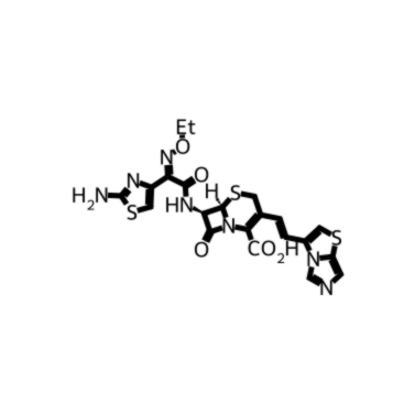 CCO/N=C(\C(=O)N[C@@H]1C(=O)N2C(C(=O)O)=C(C=Cc3csc4cncn34)CS[C@H]12)c1csc(N)n1